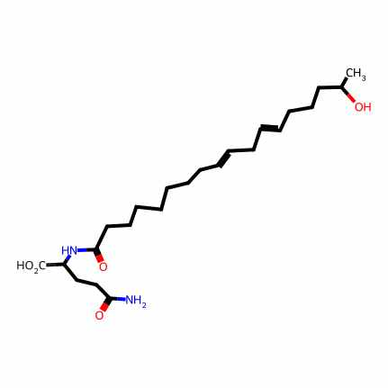 CC(O)CCCC=CCC=CCCCCCCCC(=O)NC(CCC(N)=O)C(=O)O